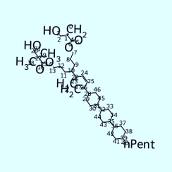 C=C(CO)C(=O)OCCCC(CCCOC(=O)C(C)(C)CO)C(=C)/C=C\C(=C)C1CCC(C2CCC(C3CCC(CCCCC)CC3)CC2)CC1